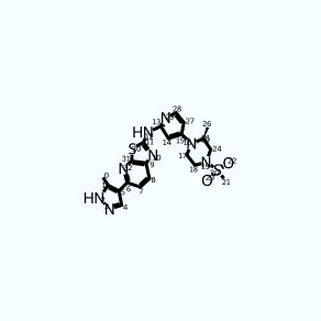 Cc1[nH]ncc1-c1ccc2nc(Nc3cc(N4CCN(S(C)(=O)=O)C[C@@H]4C)ccn3)sc2n1